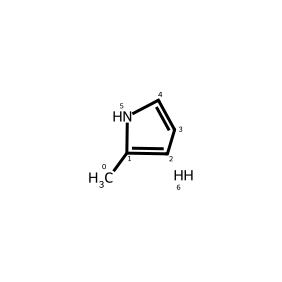 Cc1ccc[nH]1.[HH]